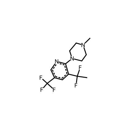 CN1CCN(c2ncc(C(F)(F)F)cc2C(C)(F)F)CC1